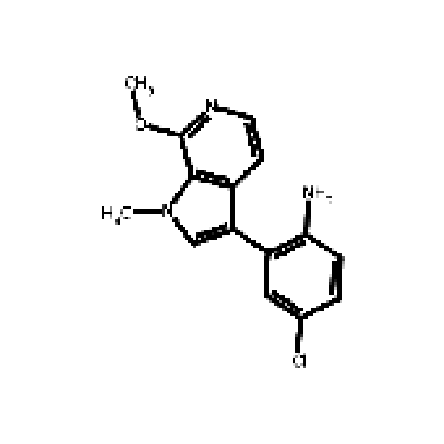 COc1nccc2c(-c3cc(Cl)ccc3N)cn(C)c12